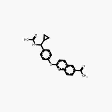 CC(=O)c1ccc2nc(Oc3ccc(C(NC(=O)O)C4CC4)cc3)ccc2c1